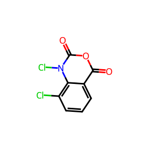 O=c1oc(=O)n(Cl)c2c(Cl)cccc12